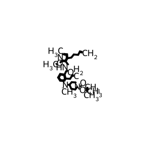 C=CCCCc1cc(C)nc(OC)c1CNC(=O)c1cccc(N(CC)C2CCN(C(=O)OC(C)(C)C)CC2)c1CC=C